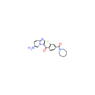 Nc1ccc2ncc(C(=O)c3ccc(C(=O)N4CCCCCC4)cc3F)n2c1